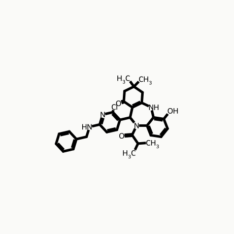 CC(C)C(=O)N1c2cccc(O)c2NC2=C(C(=O)CC(C)(C)C2)C1c1ccc(NCc2ccccc2)nc1Cl